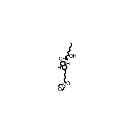 CCCCC[C@H](O)/C=C/[C@@H]1[C@H]2CC(=CCCCC(=O)N3CCOCC3)C[C@H]2C[C@H]1O